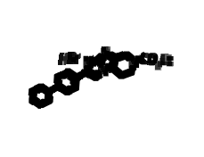 Br.CCOC(=O)N1CCc2c(sc3nc(-c4ccc(-c5ccccc5)cc4)cn23)C1